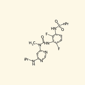 CCCS(=O)(=O)Nc1ccc(F)c(NC(=O)N(C)c2cc(NC(C)C)ncn2)c1F